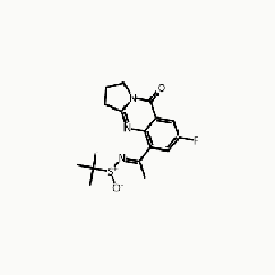 CC(=N[S+]([O-])C(C)(C)C)c1cc(F)cc2c(=O)n3c(nc12)CCC3